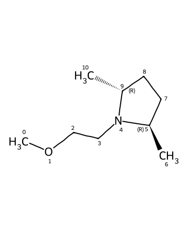 COCCN1[C@H](C)CC[C@H]1C